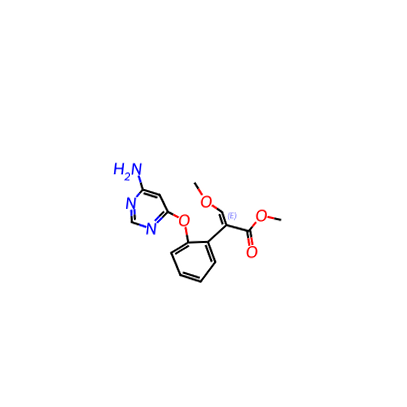 CO/C=C(/C(=O)OC)c1ccccc1Oc1cc(N)ncn1